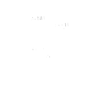 CC(=O)N[C@@H](CCC(=O)OCc1ccccc1)C(=O)O